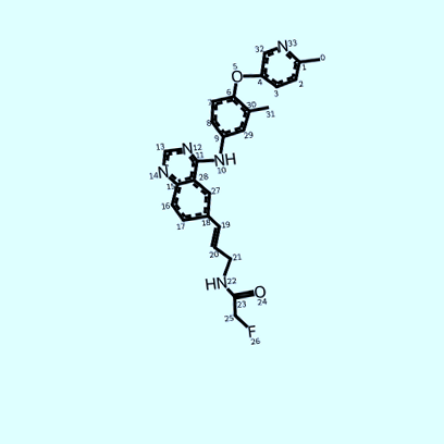 Cc1ccc(Oc2ccc(Nc3ncnc4ccc(C=CCNC(=O)CF)cc34)cc2C)cn1